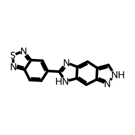 c1cc2nsnc2cc1-c1nc2cc3c[nH]nc3cc2[nH]1